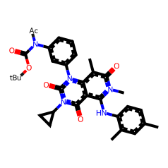 CC(=O)N(C(=O)OC(C)(C)C)c1cccc(-n2c(=O)n(C3CC3)c(=O)c3c(Nc4ccc(C)cc4C)n(C)c(=O)c(C)c32)c1